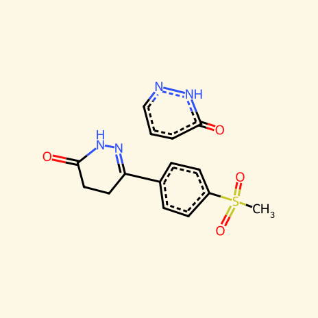 CS(=O)(=O)c1ccc(C2=NNC(=O)CC2)cc1.O=c1cccn[nH]1